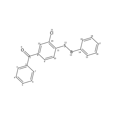 O=C(c1ccccc1)c1ccc(S[B]c2ccccc2)c(Cl)c1